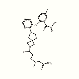 CCN(C(=O)c1cc(F)ccc1Oc1nncnc1N1CCC2(C1)CN(C(CCN(C)CC(N)=O)C(C)C)C2)C(C)C